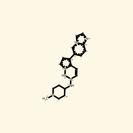 CN1CCC(NN2C=Cc3c(-c4ccc5nccn5c4)ccn3N2)CC1